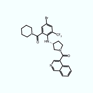 O=C(c1cc(Br)cc(C(F)(F)F)c1N[C@@H]1CCN(C(=O)c2cncc3ccccc23)C1)N1CCCCC1